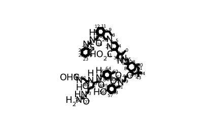 Cc1c(-c2ccc(N3CCc4cccc(C(=O)Nc5nc6ccccc6s5)c4C3)nc2C(=O)O)cnn1CC1(C)CC2(C)CC(C)(C)CC(OCCN(Cc3ccc(O)cc3)C(=O)OCc3ccc(NC(=O)C(CCCNC(N)=O)NC(=O)CNC=O)cc3)(C1)C2